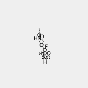 CCCCOC(=O)NC1CCc2cc(-c3cc4c(cc3F)c(=O)c3c(=O)[nH]sc3n4C3CC3)ccc2C1